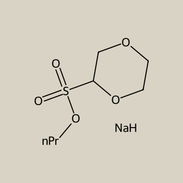 CCCOS(=O)(=O)C1COCCO1.[NaH]